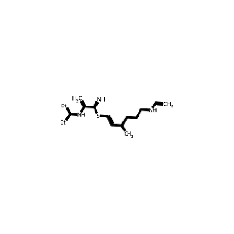 C=CNCCCC(C)/C=C/SC(=N)C(=C)NC(CC)CC